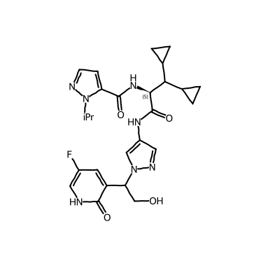 CC(C)n1nccc1C(=O)N[C@H](C(=O)Nc1cnn(C(CO)c2cc(F)c[nH]c2=O)c1)C(C1CC1)C1CC1